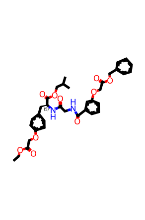 CCOC(=O)COc1ccc(C[C@H](NC(=O)CNC(=O)c2cccc(OCC(=O)OCc3ccccc3)c2)C(=O)OCC(C)C)cc1